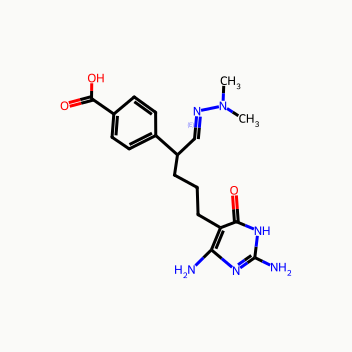 CN(C)/N=C/C(CCCc1c(N)nc(N)[nH]c1=O)c1ccc(C(=O)O)cc1